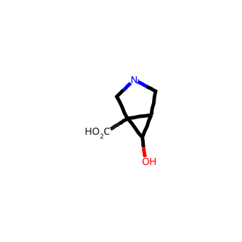 O=C(O)C12C[N]CC1C2O